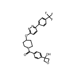 O=C(c1ccc(C2(O)COC2)cc1)N1CCC(Oc2ccc(-c3ccc(C(F)(F)F)cc3)nn2)CC1